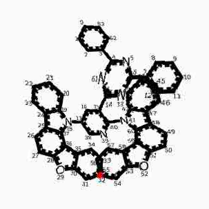 c1ccc(-c2nc(-c3ccccc3)nc(-c3cc(-n4c5ccccc5c5ccc6oc7ccccc7c6c54)cnc3-n3c4ccccc4c4ccc5oc6ccccc6c5c43)n2)cc1